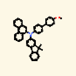 COc1ccc(-c2ccc(N(c3ccc4c(c3)C(C)(C)c3ccccc3-4)c3cc4ccccc4c4ccccc34)cc2)cc1